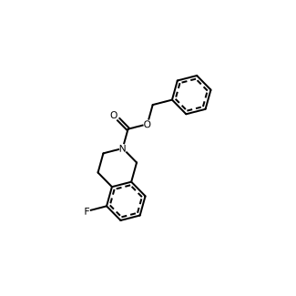 O=C(OCc1ccccc1)N1CCc2c(F)cccc2C1